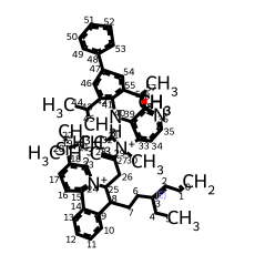 C=C/C=C(\CC)CCC1c2ccccc2-c2ccc([Si](C)(C)C)c[n+]2C1CC(=C)[N+](C)(CC)c1ccnc(C)c1Nc1c(C(C)C)cc(-c2ccccc2)cc1C(C)C